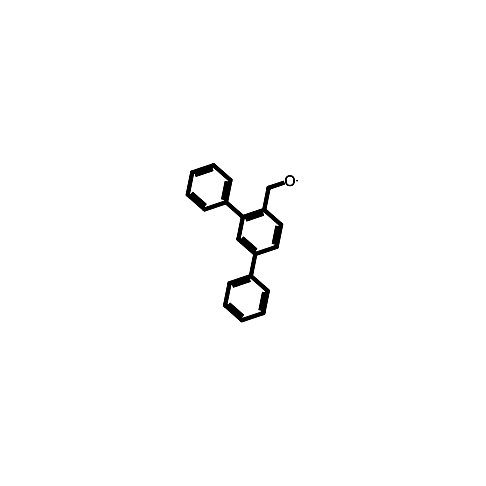 [O]Cc1ccc(-c2ccccc2)cc1-c1ccccc1